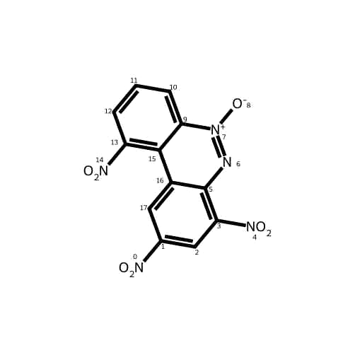 O=[N+]([O-])c1cc([N+](=O)[O-])c2n[n+]([O-])c3cccc([N+](=O)[O-])c3c2c1